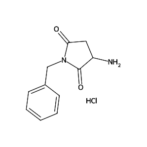 Cl.NC1CC(=O)N(Cc2ccccc2)C1=O